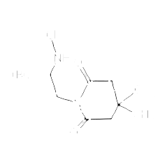 CC1(C)CC(=O)N(C[C@@H](NCl)C(C)(C)C)C(=O)C1